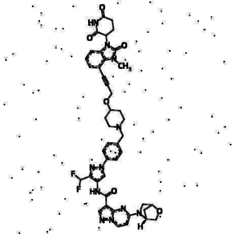 Cn1c(=O)n(C2CCC(=O)NC2=O)c2cccc(C#CCOC3CCN(Cc4ccc(-n5cc(NC(=O)c6cnn7ccc(N8CC9C[C@@H]8CO9)nc67)c(C(F)F)n5)cc4)CC3)c21